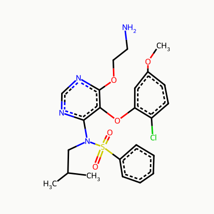 COc1ccc(Cl)c(Oc2c(OCCN)ncnc2N(CC(C)C)S(=O)(=O)c2ccccc2)c1